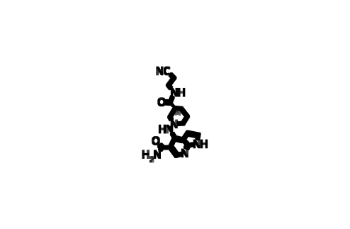 N#CCCNC(=O)[C@H]1CCCN(Nc2c(C(N)=O)cnc3[nH]ccc23)C1